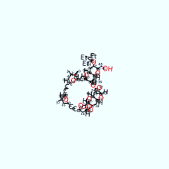 C=C1[C@H](C)C[C@@H]2CC[C@@H]3OC(CC[C@@]45C[C@H]6OC7C(O4)[C@H]4O[C@H](CC[C@@H]4O[C@H]7C6O5)CC(=O)O[C@@H]4[C@@H](C)[C@@H]5O[C@H](CO)C(O[Si](CC)(CC)CC)C[C@@H]5O[C@H]4C[C@H]1O2)CC3(C)C